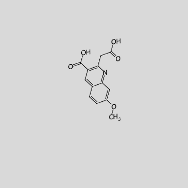 COc1ccc2cc(C(=O)O)c(CC(=O)O)nc2c1